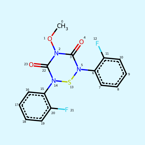 CON1C(=O)N(c2ccccc2F)SN(c2ccccc2F)C1=O